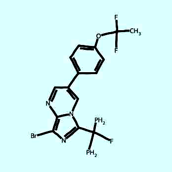 CC(F)(F)Oc1ccc(-c2cnc3c(Br)nc(C(F)(P)P)n3c2)cc1